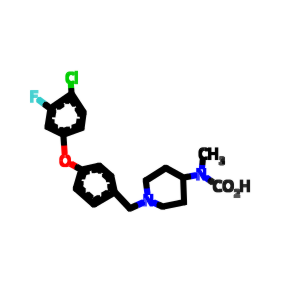 CN(C(=O)O)C1CCN(Cc2ccc(Oc3ccc(Cl)c(F)c3)cc2)CC1